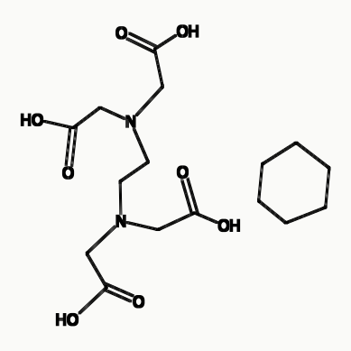 C1CCCCC1.O=C(O)CN(CCN(CC(=O)O)CC(=O)O)CC(=O)O